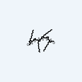 CCCCCCCCc1cc(C=O)sc1-c1ccc(-c2sc(-c3cc(CCCCCCCC)c(-c4ccc(-c5sc(C=O)cc5CCCCCCCC)s4)s3)cc2CCCCCCCC)s1